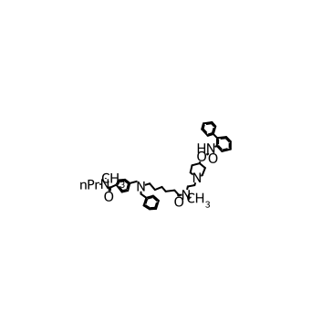 CCCN(C)C(=O)c1ccc(CN(CCCCCC(=O)N(C)CCN2CCC(OC(=O)Nc3ccccc3-c3ccccc3)CC2)Cc2ccccc2)cc1